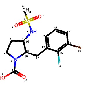 CS(=O)(=O)N[C@@H]1CCN(C(=O)O)[C@@H]1Cc1cccc(Br)c1F